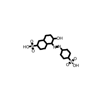 O=S(=O)(O)C1CCC(N=NC2C(O)CCC3CC(S(=O)(=O)O)CCC32)CC1